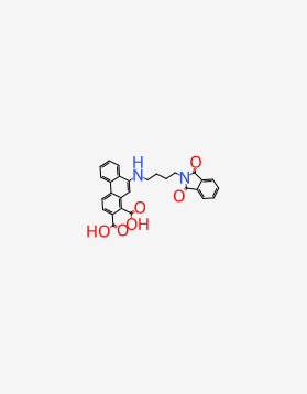 O=C(O)c1ccc2c(cc(NCCCCN3C(=O)c4ccccc4C3=O)c3ccccc32)c1C(=O)O